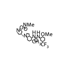 CNC(=O)Oc1cc(Cn2ccc3c(NC(=O)Nc4cc(C(F)(F)F)ccc4OC)c(C)ccc32)ccn1